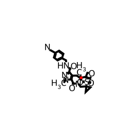 CCC1(S(=O)(=O)C2(CN3CCc4c(C(=O)NCc5ccc(C#N)cc5)nn(C)c4C3=O)CC2)COC1